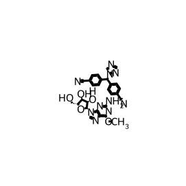 COc1nc(N)nc2c1ncn2[C@@H]1O[C@H](CO)[C@@H](O)[C@@H]1O.N#Cc1ccc(C(c2ccc(C#N)cc2)n2cncn2)cc1